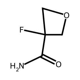 NC(=O)C1(F)COC1